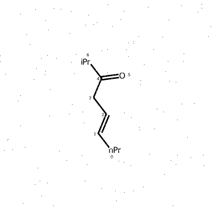 CCC/C=C/CC(=O)C(C)C